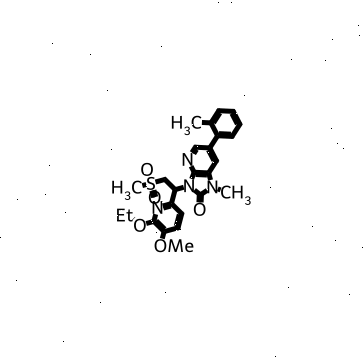 CCOc1nc(C(CS(C)(=O)=O)n2c(=O)n(C)c3cc(-c4ccccc4C)cnc32)ccc1OC